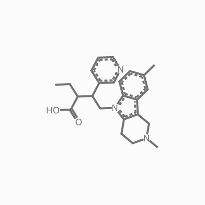 CCC(C(=O)O)C(Cn1c2c(c3cc(C)ccc31)CN(C)CC2)c1cccnc1